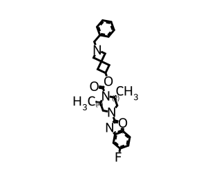 C[C@@H]1CN(c2nc3cc(F)ccc3o2)C[C@@H](C)N1C(=O)OC1CC2(C1)CN(Cc1ccccc1)C2